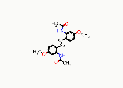 COc1ccc([Se][Se]c2ccc(OC)cc2NC(C)=O)c(NC(C)=O)c1